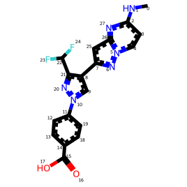 CNc1ccn2nc(-c3cn(-c4ccc(C(=O)O)cc4)nc3C(F)F)cc2n1